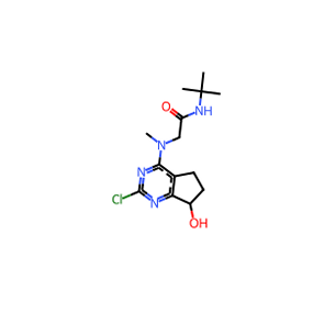 CN(CC(=O)NC(C)(C)C)c1nc(Cl)nc2c1CCC2O